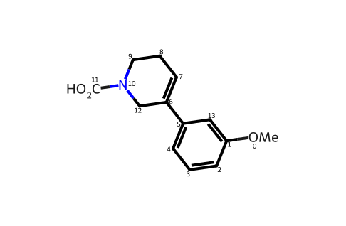 COc1cccc(C2=CCCN(C(=O)O)C2)c1